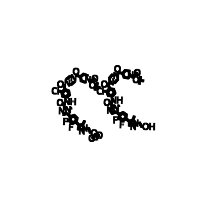 Cc1c(-c2ccc(-c3cnc(C(=O)Nc4ccc(C(=O)N5CCN(C(=O)C6CCN(C(=O)OC(C)(C)C)CC6)CC5)c(Cl)c4)n3C)c(F)c2F)cnn1CCO.Cc1c(-c2ccc(-c3cnc(C(=O)Nc4ccc(C(=O)N5CCN(C(=O)C6CCN(C(=O)OC(C)(C)C)CC6)CC5)c(Cl)c4)n3C)c(F)c2F)cnn1CCOS(C)(=O)=O